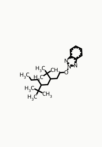 CCCC(CC(CCOn1nc2ccccc2n1)C(C)(C)C)C(C)(C)C